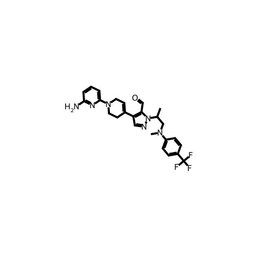 CC(CN(C)c1ccc(C(F)(F)F)cc1)n1ncc(C2=CCN(c3cccc(N)n3)CC2)c1C=O